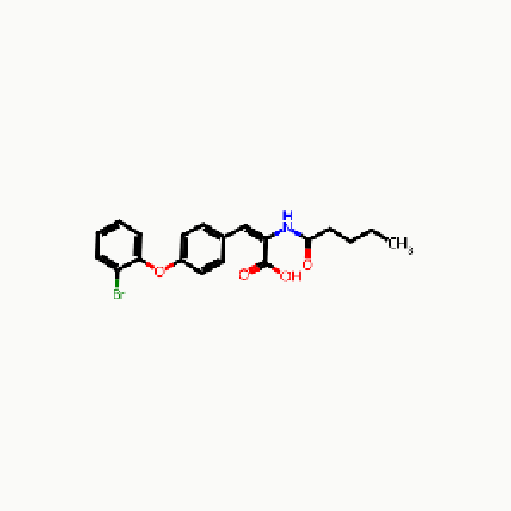 CCCCC(=O)N/C(=C/c1ccc(Oc2ccccc2Br)cc1)C(=O)O